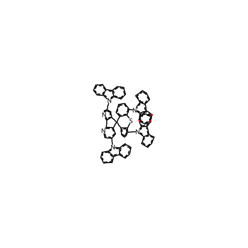 c1cc(-n2c3ccccc3c3ccccc32)c2c(c1)C1(c3cc(-n4c5ccccc5c5ccccc54)cnc3-c3ncc(-n4c5ccccc5c5ccccc54)cc31)c1cccc(-n3c4ccccc4c4ccccc43)c1S2